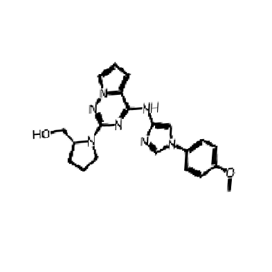 COc1ccc(-n2cnc(Nc3nc(N4CCC[C@H]4CO)nn4cccc34)c2)cc1